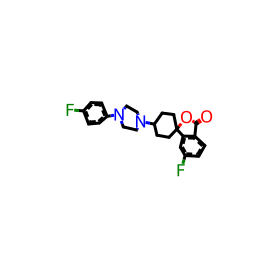 O=C1OC2(CCC(N3CCN(c4ccc(F)cc4)CC3)CC2)c2cc(F)ccc21